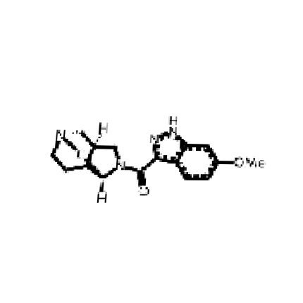 COc1ccc2c(C(=O)N3C[C@@H]4C[N@@]5CCC4[C@@H]3C5)n[nH]c2c1